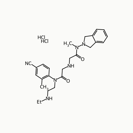 CCNCCN(C(=O)CNCC(=O)N(C)N1Cc2ccccc2C1)c1ccc(C#N)cc1C.Cl.Cl